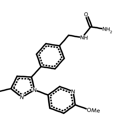 COc1ccc(-n2nc(Cl)cc2-c2ccc(CNC(N)=O)cc2)cn1